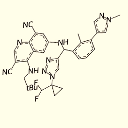 Cc1c(-c2cnn(C)c2)cccc1C(Nc1cc(C#N)c2ncc(C#N)c(NCC(C)(C)C)c2c1)c1cn(C2(C(F)F)CC2)nn1